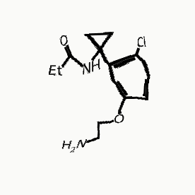 CCC(=O)NC1(c2cc(OCCN)ccc2Cl)CC1